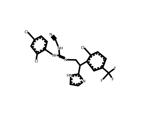 N#CNC(=NCC(c1ncc[nH]1)c1cc(C(F)(F)F)ccc1Cl)Nc1ccc(Cl)cc1Cl